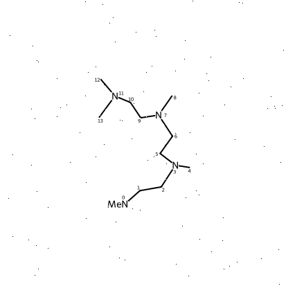 CNCCN(C)CCN(C)CCN(C)C